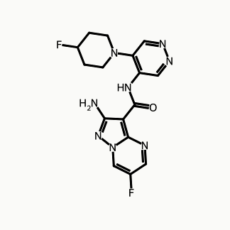 Nc1nn2cc(F)cnc2c1C(=O)Nc1cnncc1N1CCC(F)CC1